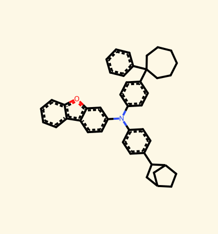 c1ccc(C2(c3ccc(N(c4ccc(C5CC6CCC5C6)cc4)c4ccc5c(c4)oc4ccccc45)cc3)CCCCCC2)cc1